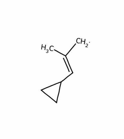 [CH2]/C(C)=C/C1CC1